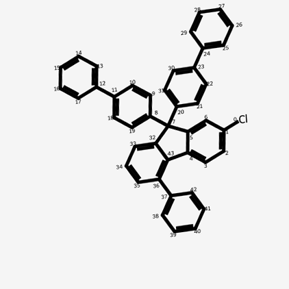 Clc1ccc2c(c1)C(c1ccc(-c3ccccc3)cc1)(c1ccc(-c3ccccc3)cc1)c1cccc(-c3ccccc3)c1-2